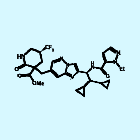 CCn1nccc1C(=O)N[C@H](c1cn2ncc(CC3(C(=O)OC)C[C@@H](C(F)(F)F)CNC3=O)cc2n1)C(C1CC1)C1CC1